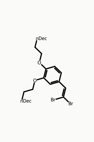 CCCCCCCCCCCCOc1ccc(C=C(Br)Br)cc1OCCCCCCCCCCCC